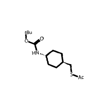 CC(=O)SC[C@H]1CC[C@H](NC(=O)OC(C)(C)C)CC1